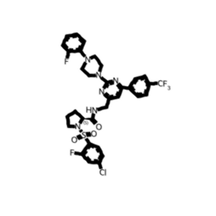 O=C(NCc1cc(-c2ccc(C(F)(F)F)cc2)nc(N2CCN(c3ccccc3F)CC2)n1)[C@@H]1CCCN1S(=O)(=O)c1ccc(Cl)cc1F